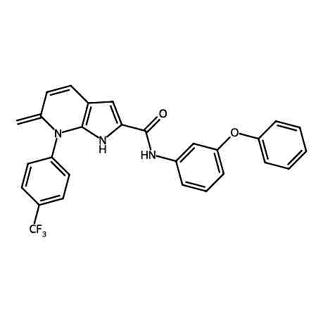 C=C1C=Cc2cc(C(=O)Nc3cccc(Oc4ccccc4)c3)[nH]c2N1c1ccc(C(F)(F)F)cc1